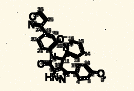 COc1ccc(-c2n[nH]c3c2C(c2cccc[n+]2[O-])N(c2ccc(-c4ccon4)cc2)C3=O)cc1